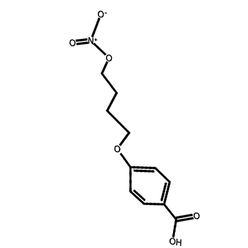 O=C(O)c1ccc(OCCCCO[N+](=O)[O-])cc1